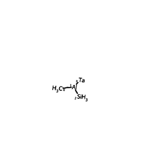 [CH3][Al]([SiH3])[Ta]